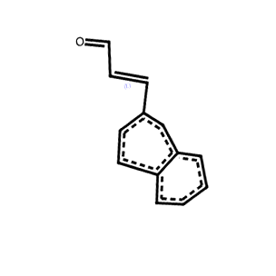 O=C/C=C/c1ccc2ccccc2c1